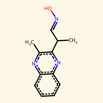 Cc1nc2ccccc2nc1C(C)C=NO